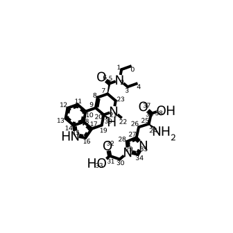 CCN(CC)C(=O)[C@@H]1C=C2c3cccc4[nH]cc(c34)C[C@H]2N(C)C1.N[C@@H](Cc1cn(CC(=O)O)cn1)C(=O)O